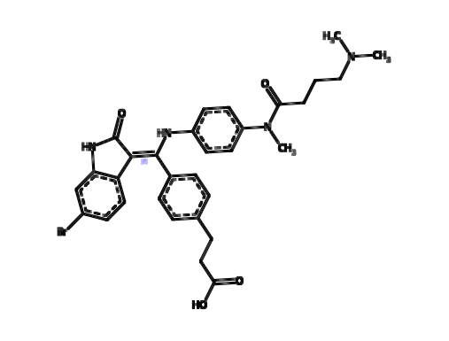 CN(C)CCCC(=O)N(C)c1ccc(N/C(=C2\C(=O)Nc3cc(Br)ccc32)c2ccc(CCC(=O)O)cc2)cc1